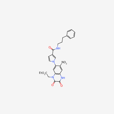 CCOC(=O)Cn1c(=O)c(=O)[nH]c2cc([N+](=O)[O-])c(-n3ccc(C(=O)NCCCc4ccccc4)c3)cc21